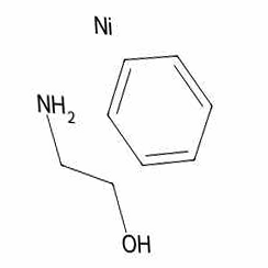 NCCO.[Ni].c1ccccc1